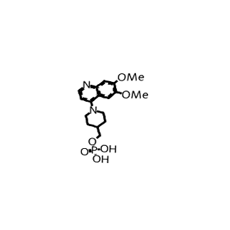 COc1cc2nccc(N3CCC(COP(=O)(O)O)CC3)c2cc1OC